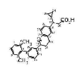 Cc1cccc(C)c1-c1cccc(C2CCc3cc(C(CC(=O)O)C4CC4)ccc3O2)c1